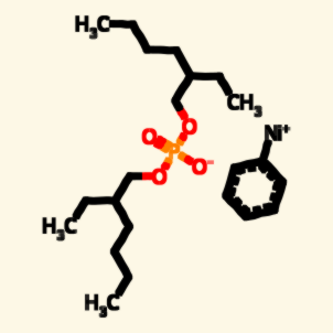 CCCCC(CC)COP(=O)([O-])OCC(CC)CCCC.[Ni+][c]1ccccc1